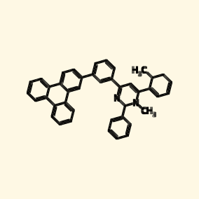 CC1CC=CC=C1C1=CC(c2cccc(-c3ccc4c5ccccc5c5ccccc5c4c3)c2)=NC(c2ccccc2)N1C